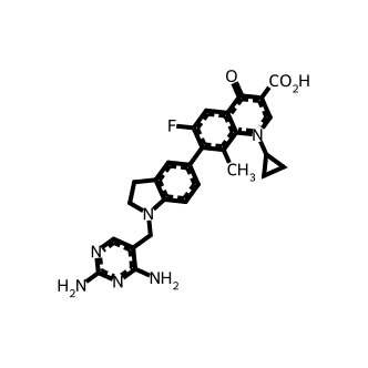 Cc1c(-c2ccc3c(c2)CCN3Cc2cnc(N)nc2N)c(F)cc2c(=O)c(C(=O)O)cn(C3CC3)c12